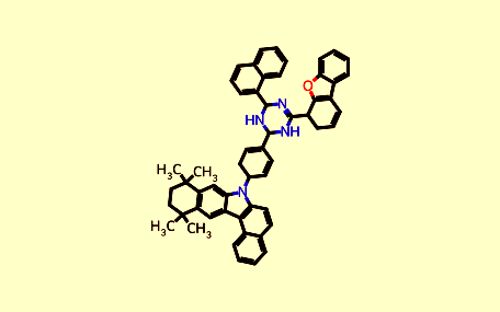 CC1(C)CCC(C)(C)c2cc3c(cc21)c1c2ccccc2ccc1n3C1C=CC(C2NC(C3CC=Cc4c3oc3ccccc43)=NC(c3cccc4ccccc34)N2)=CC1